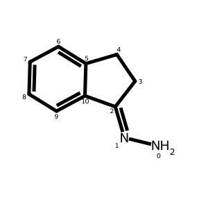 N/N=C1\CCc2ccccc21